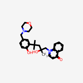 CC(C)(CC(O)(Cn1ccc(=O)c2ccccc21)C(F)(F)F)c1cc(CN2CCOCC2)ccc1O